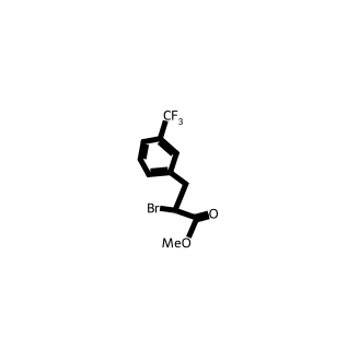 COC(=O)C(Br)Cc1cccc(C(F)(F)F)c1